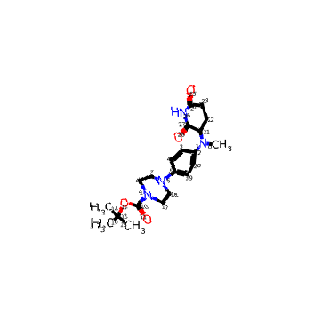 CN(c1ccc(N2CCN(C(=O)OC(C)(C)C)CC2)cc1)C1CCC(=O)NC1=O